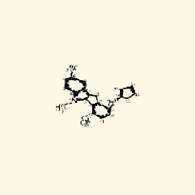 Cn1c2c(c3cc(Br)ccc31)Cc1[c]([Zr+2][C]3=CC=CC3)cccc1-2.[Cl-].[Cl-]